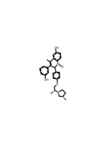 CCN1c2ccc(O)cc2C(C)=C(c2cccc(O)c2)C1c1ccc(OC[C@H](C)N2CC[C@@H](C)C2)cc1